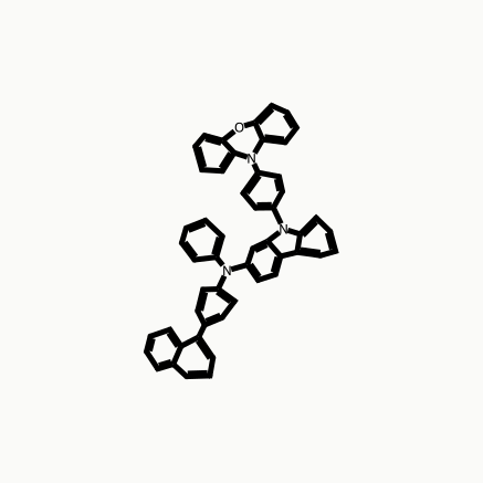 c1ccc(N(c2ccc(-c3cccc4ccccc34)cc2)c2ccc3c4ccccc4n(-c4ccc(N5c6ccccc6Oc6ccccc65)cc4)c3c2)cc1